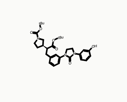 CC(C)(C)OC(=O)C(Cc1cccc(N2CCN(c3cccc(O)c3)C2=O)c1)[C@H]1CCN(C(=O)OC(C)(C)C)C1